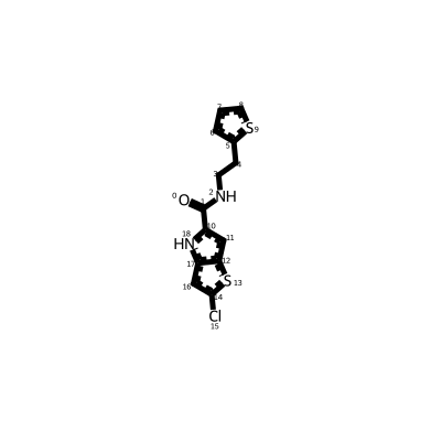 O=C(NCCc1cccs1)c1cc2sc(Cl)cc2[nH]1